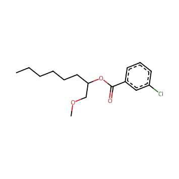 CCCCCCC(COC)OC(=O)c1cccc(Cl)c1